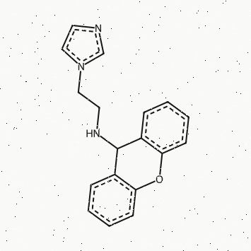 c1ccc2c(c1)Oc1ccccc1C2NCCn1ccnc1